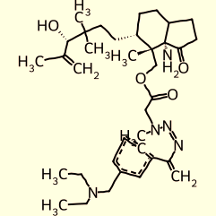 C=C(/N=N\N(C)CC(=O)OC[C@]1(C)[C@H](CCC(C)(C)[C@@H](O)C(=C)C)CCC2CCC(=O)[C@]21N)c1cccc(CN(CC)CC)c1